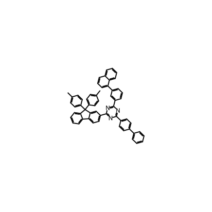 Cc1ccc(C2(c3ccc(C)cc3)c3ccccc3-c3ccc(-c4nc(-c5ccc(-c6ccccc6)cc5)nc(-c5cccc(-c6cccc7ccccc67)c5)n4)cc32)cc1